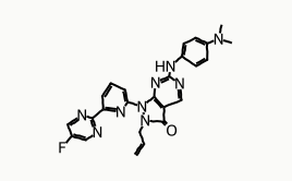 C=CCn1c(=O)c2cnc(Nc3ccc(N(C)C)cc3)nc2n1-c1cccc(-c2ncc(F)cn2)n1